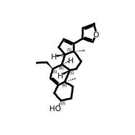 CC[C@@H]1C=C2C[C@@H](O)CC[C@]2(C)[C@H]2CC[C@]3(C)C(c4ccoc4)=CC[C@H]3[C@H]12